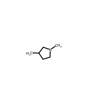 [CH2]C1CCN(C)C1